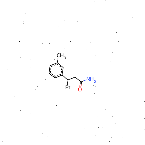 CC[C@H](CC(N)=O)c1cccc(C)c1